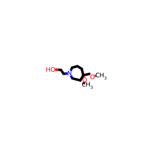 COCC1(OC)CCCN(CCO)CC1